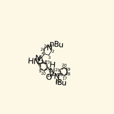 CCCCN1CCC(c2n[nH]c3ccc(NC(=O)N(c4ccccc4)C(C)CC)cc23)CC1